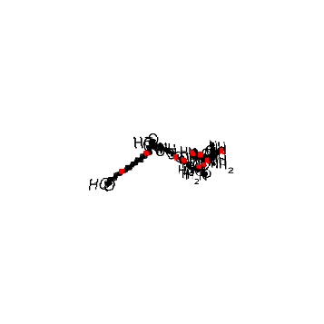 CCCC[C@H](NC(=O)[C@H](CN)NC(=O)[C@H](Cc1c[nH]cn1)NC(=O)[C@H](CCC(N)=O)NC(=O)[C@H](CO)NC(=O)CNC(=O)COCCOCCNC(=O)C[C@H](NC(=O)CCCCCCCCCCCCCCCCC(=O)O)C(=O)O)C(=O)NC